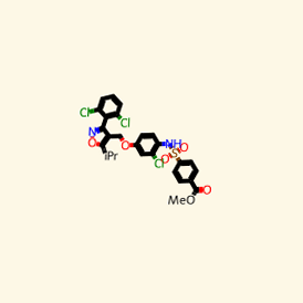 COC(=O)c1ccc(S(=O)(=O)Nc2ccc(OCc3c(-c4c(Cl)cccc4Cl)noc3C(C)C)cc2Cl)cc1